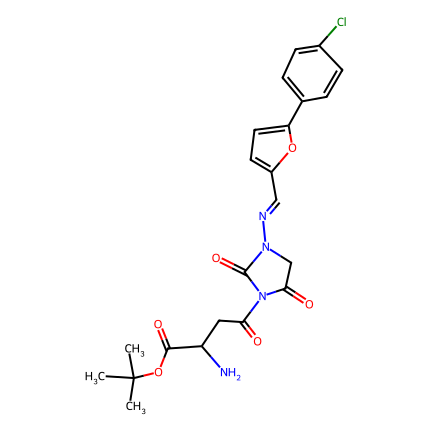 CC(C)(C)OC(=O)C(N)CC(=O)N1C(=O)CN(N=Cc2ccc(-c3ccc(Cl)cc3)o2)C1=O